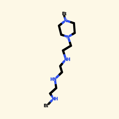 CCNCCNCCNCCN1CCN(CC)CC1